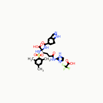 Cc1cc(C)c(S(=O)(=O)N[C@](CCCC(=O)Nc2ncc[nH]2)(NC(=O)c2ccc3[nH]ncc3c2)C(=O)O)c(C)c1.O=C(O)C(F)(F)F